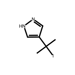 CC(C)(I)c1cn[nH]c1